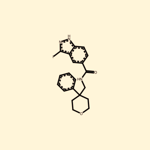 O=C(NCC1(c2ccccc2)CCOCC1)c1ccc2[nH]nc(I)c2c1